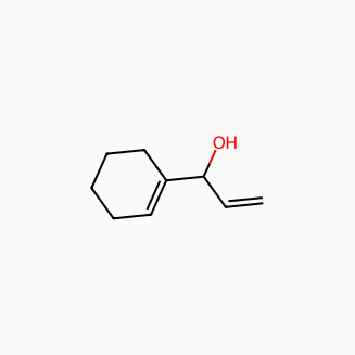 C=CC(O)C1=CCCCC1